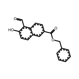 O=Cc1c(O)ccc2cc(C(=O)OCc3ccccc3)ccc12